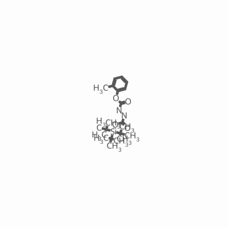 Cc1ccccc1OC(=O)/N=N/C(=O)O[Si](C(C)(C)C)(C(C)(C)C)C(C)(C)C